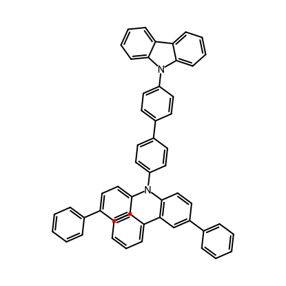 c1ccc(-c2ccc(N(c3ccc(-c4ccc(-n5c6ccccc6c6ccccc65)cc4)cc3)c3ccc(-c4ccccc4)cc3-c3ccccc3)cc2)cc1